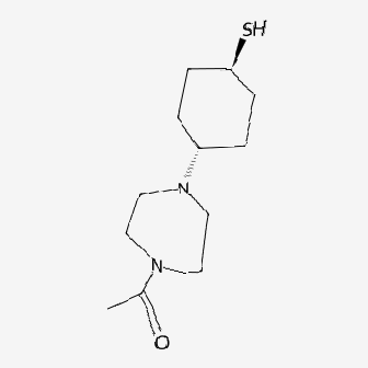 CC(=O)N1CCN([C@H]2CC[C@H](S)CC2)CC1